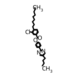 CCCCCCCCCc1ccc(C(=O)Oc2ccc(-c3ncc(CCCCC)cn3)cc2)cc1Cl